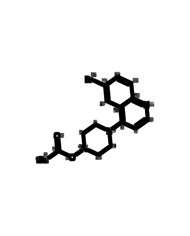 CC(C)(C)C(=O)ON1CCN(c2ccnc3ccc(Br)cc23)CC1